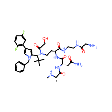 CN[C@@H](C)C(=O)N[C@@H](CC(N)=O)C(=O)N[C@@H](CCN(C(=O)CO)[C@@H](c1cc(-c2cc(F)ccc2F)cn1Cc1ccccc1)C(C)(C)C)C(=O)NCCNC(=O)CN